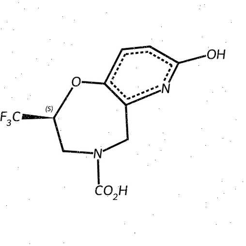 O=C(O)N1Cc2nc(O)ccc2O[C@H](C(F)(F)F)C1